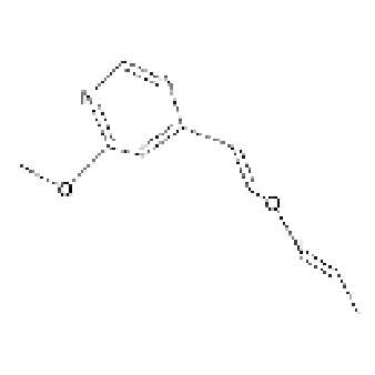 C/C=N/O/C=C/c1cc(OC)ncn1